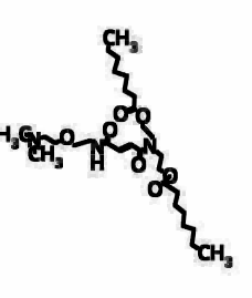 CCCCCCCC(=O)OCCN(CCOC(=O)CCCCCCC)C(=O)C=CC(=O)NCCOCCN(C)C